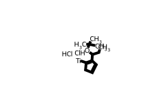 CCC(OC(C)(C)C)C1=[C]([Ti])CC=C1.Cl.Cl